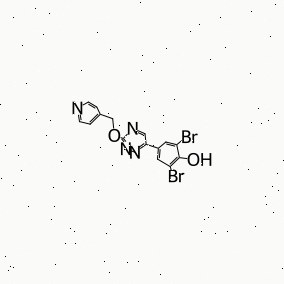 Oc1c(Br)cc(-c2cnc(OCc3ccncc3)nn2)cc1Br